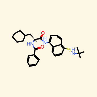 CC(C)(C)NSc1cccc2c(NC(=O)[C@H](CC3CCCCC3)NC(=O)c3ccccc3)cccc12